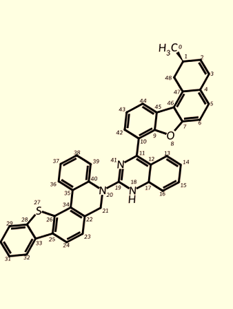 C[C@H]1C=Cc2ccc3oc4c(C5=C6C=CC=CC6NC(N6Cc7ccc8c(sc9ccccc98)c7-c7ccccc76)=N5)cccc4c3c2C1